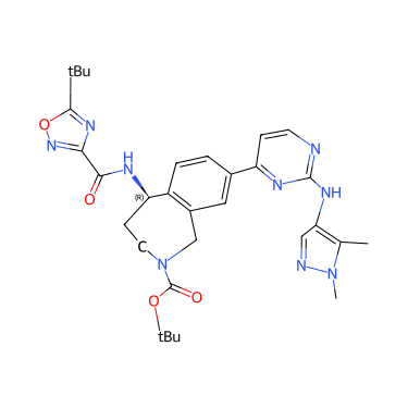 Cc1c(Nc2nccc(-c3ccc4c(c3)CN(C(=O)OC(C)(C)C)CC[C@H]4NC(=O)c3noc(C(C)(C)C)n3)n2)cnn1C